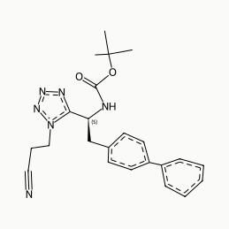 CC(C)(C)OC(=O)N[C@@H](Cc1ccc(-c2ccccc2)cc1)c1nnnn1CCC#N